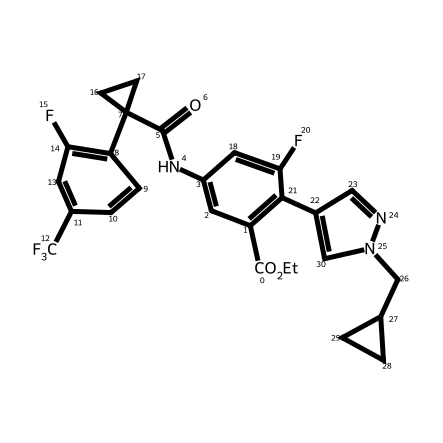 CCOC(=O)c1cc(NC(=O)C2(c3ccc(C(F)(F)F)cc3F)CC2)cc(F)c1-c1cnn(CC2CC2)c1